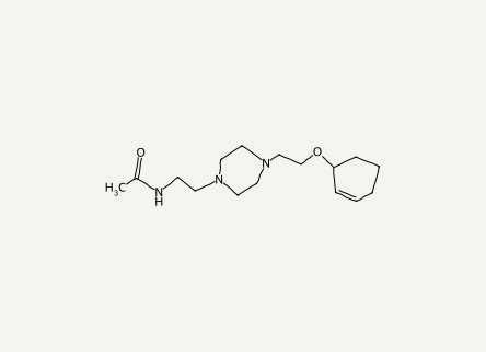 CC(=O)NCCN1CCN(CCOC2C=CCCC2)CC1